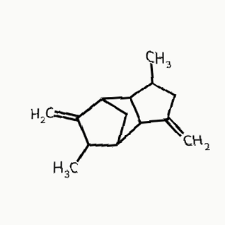 C=C1C(C)C2CC1C1C(C)CC(=C)C21